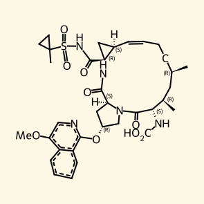 COc1cnc(O[C@@H]2C[C@H]3C(=O)N[C@]4(C(=O)NS(=O)(=O)C5(C)CC5)C[C@H]4C=CCC[C@@H](C)C[C@@H](C)[C@H](NC(=O)O)C(=O)N3C2)c2ccccc12